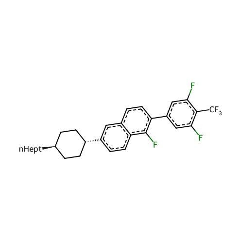 CCCCCCC[C@H]1CC[C@H](c2ccc3c(F)c(-c4cc(F)c(C(F)(F)F)c(F)c4)ccc3c2)CC1